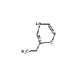 CCC1=CNC=CS1